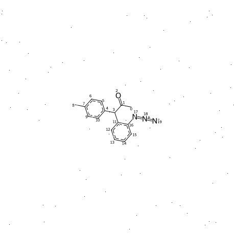 CC(=O)C(c1ccc(C)cc1)c1ccccc1N=[N+]=[N-]